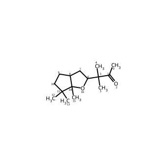 CC(=O)C(C)(C)C1CC2CCC(C)(C)C2(C)O1